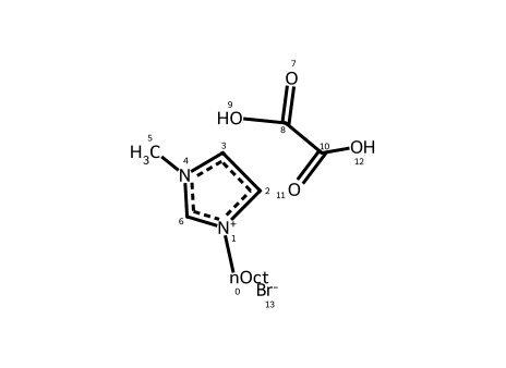 CCCCCCCC[n+]1ccn(C)c1.O=C(O)C(=O)O.[Br-]